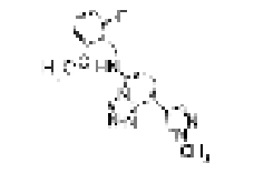 COc1cccc(F)c1CNc1ccc(-c2cnn(C)c2)c2nncn12